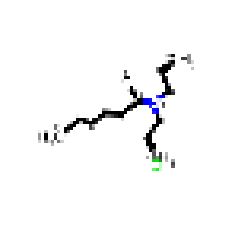 C=CCN(CC=C)C(C)CCCCC.Cl